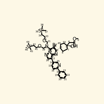 COC(=O)C[C@]1(O)CC[C@H](c2nc3c(-c4ccc(-c5ccccc5)nc4)cnn3c(N(COCC[Si](C)(C)C)COCC[Si](C)(C)C)c2Br)CC1